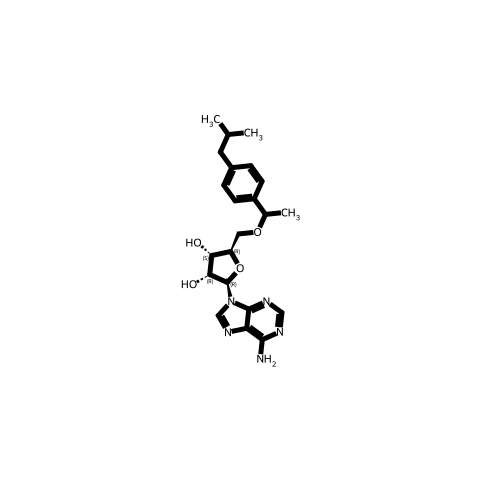 CC(C)Cc1ccc(C(C)OC[C@H]2O[C@@H](n3cnc4c(N)ncnc43)[C@H](O)[C@@H]2O)cc1